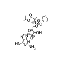 CNc1nc(N)nc2c1ncn2[C@@H]1O[C@H](CO[P@@](=O)(N[C@H](C)C(=O)OC(C)C)Oc2ccccc2)[C@@H](O)[C@]1(F)Cl